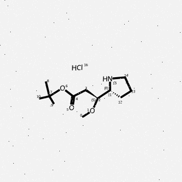 CO[C@@H](CC(=O)OC(C)(C)C)[C@H]1CCCN1.Cl